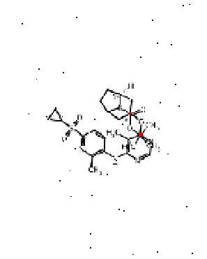 Cc1nc(S(=O)(=O)C2CC2)ccc1Nc1ncnc(O[C@H]2CC3CC[C@@H](C2)N3C(=O)OC(C)(C)C)c1C